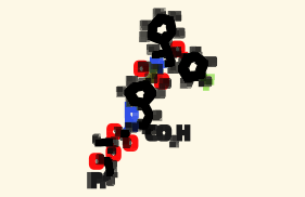 CC(C)CC(=O)OC(C)OC(=O)N[C@@H](Cc1cccc(S(=O)(=O)N2CC(Oc3ccc(F)cc3)(c3ccccc3)C2)c1)C(=O)O